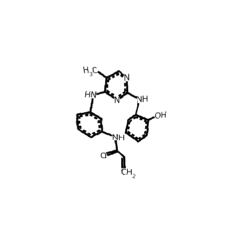 C=CC(=O)Nc1cccc(Nc2nc(Nc3ccccc3O)ncc2C)c1